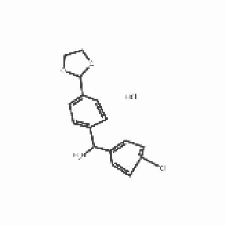 Cl.NC(c1ccc(Cl)cc1)c1ccc(C2OCCO2)cc1